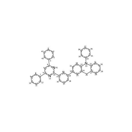 c1ccc(-c2cc(-c3ccccc3)nc(-c3cccc(-c4ccc5c(c4)Cc4ccccc4N5c4ccccc4)c3)n2)cc1